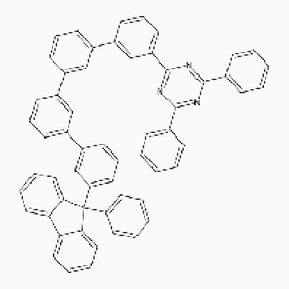 c1ccc(-c2nc(-c3ccccc3)nc(-c3cccc(-c4cccc(-c5cccc(-c6cccc(C7(c8ccccc8)c8ccccc8-c8ccccc87)c6)c5)c4)c3)n2)cc1